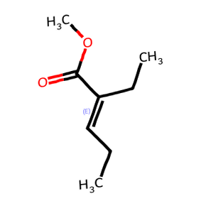 CC/C=C(\CC)C(=O)OC